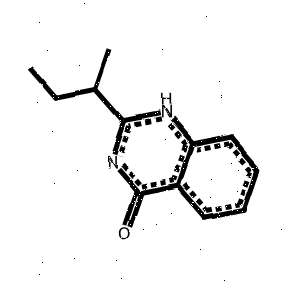 CCC(C)c1nc(=O)c2ccccc2[nH]1